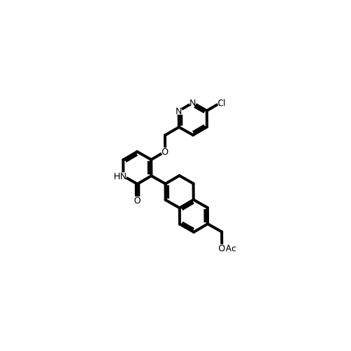 CC(=O)OCc1ccc2c(c1)CCC(c1c(OCc3ccc(Cl)nn3)cc[nH]c1=O)=C2